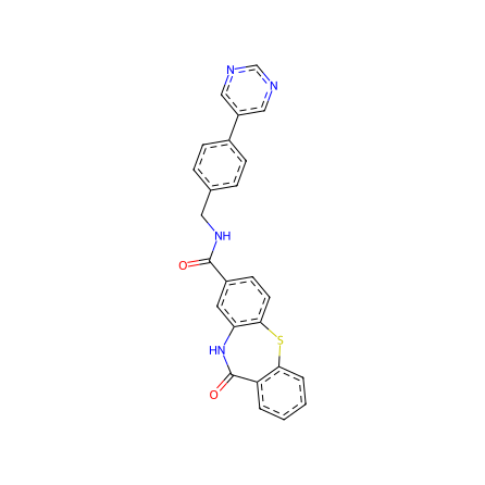 O=C(NCc1ccc(-c2cncnc2)cc1)c1ccc2c(c1)NC(=O)c1ccccc1S2